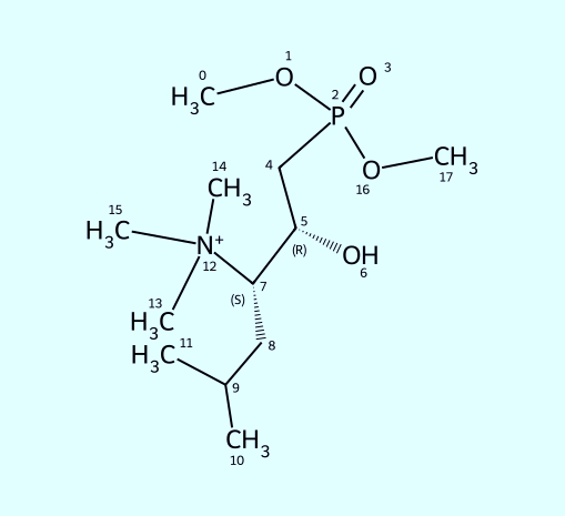 COP(=O)(C[C@H](O)[C@H](CC(C)C)[N+](C)(C)C)OC